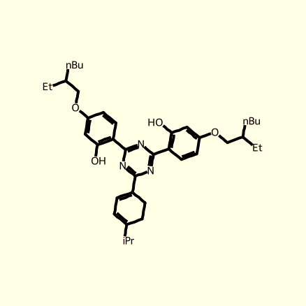 CCCCC(CC)COc1ccc(-c2nc(C3=CC=C(C(C)C)CC3)nc(-c3ccc(OCC(CC)CCCC)cc3O)n2)c(O)c1